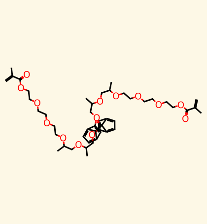 C=C(C)C(=O)OCCOCCOCCOC(C)COC(C)COC1=CC2=CC=C1C2C1(C)C2=CC=C1C(OCC(C)OCC(C)OCCOCCOCCOC(=O)C(=C)C)=C2